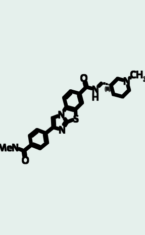 CNC(=O)c1ccc(-c2cn3c(n2)sc2cc(C(=O)NC[C@H]4CCCN(C)C4)ccc23)cc1